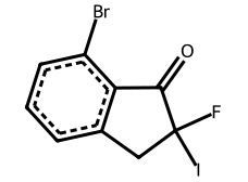 O=C1c2c(Br)cccc2CC1(F)I